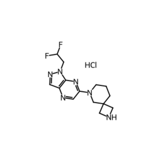 Cl.FC(F)Cn1ncc2ncc(N3CCCC4(CNC4)C3)nc21